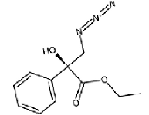 CCOC(=O)[C@@](O)(CN=[N+]=[N-])c1ccccc1